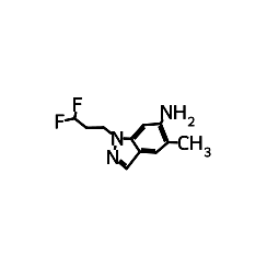 Cc1cc2cnn(CCC(F)F)c2cc1N